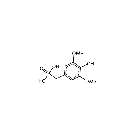 COc1cc(CP(=O)(O)O)cc(OC)c1O